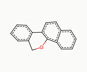 c1ccc2c(c1)COc1c-2ccc2ccccc12